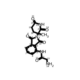 CC1(N2C(=O)c3cccc(NC(=O)CN)c3C2=O)CCC(=O)NC1=O